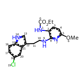 CCOC(=O)Nc1ccc(OC)nc1NCCc1c[nH]c2ccc(Cl)cc12